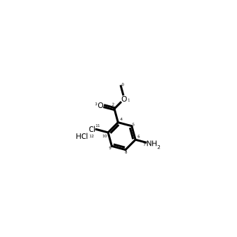 COC(=O)c1cc(N)ccc1Cl.Cl